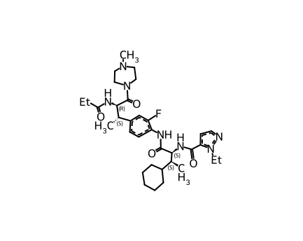 CCC(=O)N[C@@H](C(=O)N1CCN(C)CC1)[C@@H](C)c1ccc(NC(=O)[C@@H](NC(=O)c2ccnn2CC)[C@@H](C)C2CCCCC2)c(F)c1